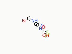 OC1(C(F)(F)F)CC(c2nc(C34CCC(CNc5cccc(Br)c5)(CC3)CC4)no2)C1